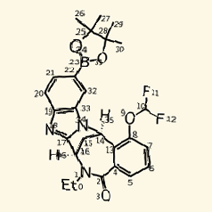 CCN1C(=O)c2cccc(OC(F)F)c2[C@H]2C[C@@H]1c1nc3ccc(B4OC(C)(C)C(C)(C)O4)cc3n12